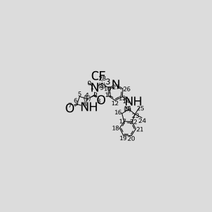 CN(C(=O)[C@@H]1CC(=O)N1)[C@@H](c1ccc(N[C@H]2Cc3ccccc3C2(C)C)cn1)C(F)(F)F